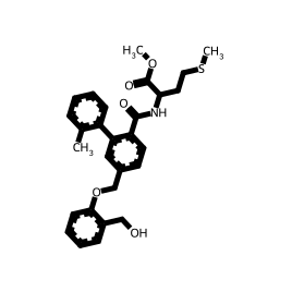 COC(=O)C(CCSC)NC(=O)c1ccc(COc2ccccc2CO)cc1-c1ccccc1C